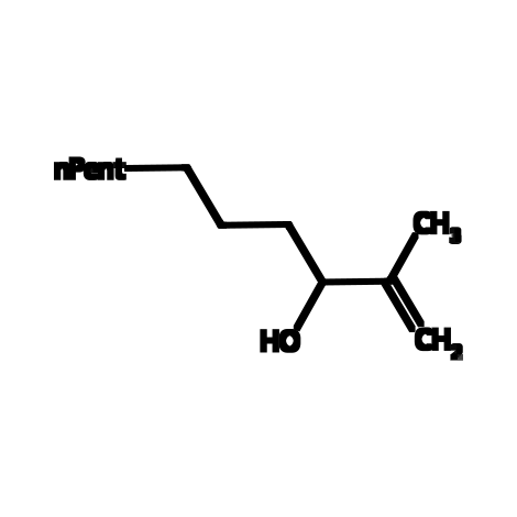 C=C(C)C(O)CCCCCCCC